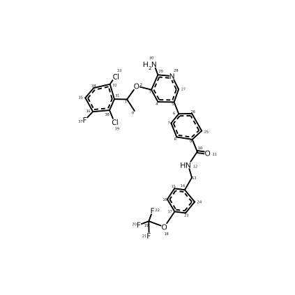 CC(Oc1cc(-c2ccc(C(=O)NCc3ccc(OC(F)(F)F)cc3)cc2)cnc1N)c1c(Cl)ccc(F)c1Cl